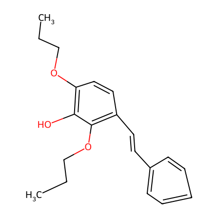 CCCOc1ccc(C=Cc2ccccc2)c(OCCC)c1O